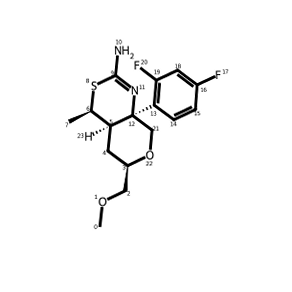 COC[C@H]1C[C@H]2[C@@H](C)SC(N)=N[C@@]2(c2ccc(F)cc2F)CO1